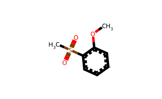 COc1c[c]ccc1S(C)(=O)=O